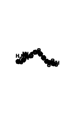 Nc1ncnc2c1c(-c1ccc(Oc3ccccc3)cc1)nn2C1CCCN(CC2CCN(C(=O)N3CCC(C4CCN(c5ccc6c(c5)CN(C5CCC(=O)NC5=O)C6=O)CC4)CC3)CC2)C1